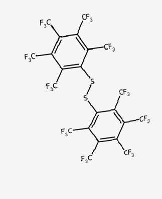 FC(F)(F)c1c(SSc2c(C(F)(F)F)c(C(F)(F)F)c(C(F)(F)F)c(C(F)(F)F)c2C(F)(F)F)c(C(F)(F)F)c(C(F)(F)F)c(C(F)(F)F)c1C(F)(F)F